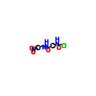 O=C(CCl)Nc1ccc(C(=O)N/N=C/c2ccc([N+](=O)[O-])cc2)cc1